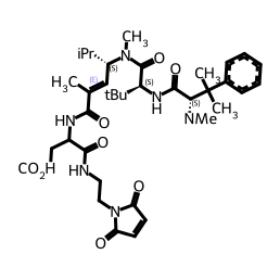 CN[C@H](C(=O)N[C@H](C(=O)N(C)[C@H](/C=C(\C)C(=O)NC(CC(=O)O)C(=O)NCCN1C(=O)C=CC1=O)C(C)C)C(C)(C)C)C(C)(C)c1ccccc1